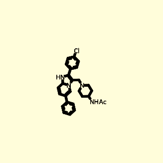 CC(=O)NC1CCN(CC2=C(c3ccc(Cl)cc3)NC3C=CC(c4ccccc4)=CN23)CC1